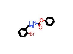 O=C(NN=Cc1ccccc1Br)Oc1ccccc1